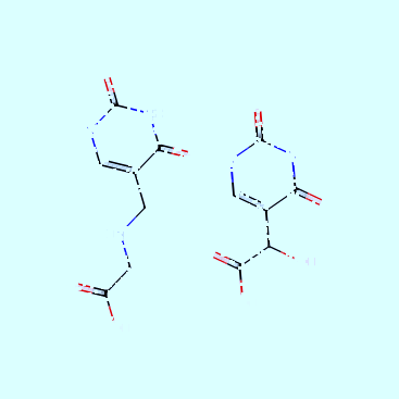 O=C(O)C(O)c1c[nH]c(=O)[nH]c1=O.O=C(O)CNCc1c[nH]c(=O)[nH]c1=O